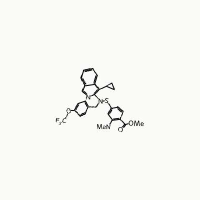 CNc1cc(SN(Cc2ccc(OC(F)(F)F)cc2)c2ncc3ccccc3c2C2CC2)ccc1C(=O)OC